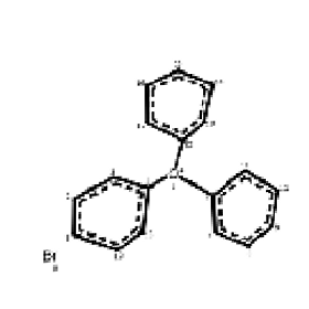 [Br-].c1ccc([O+](c2ccccc2)c2ccccc2)cc1